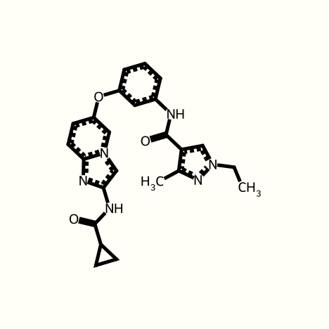 CCn1cc(C(=O)Nc2cccc(Oc3ccc4nc(NC(=O)C5CC5)cn4c3)c2)c(C)n1